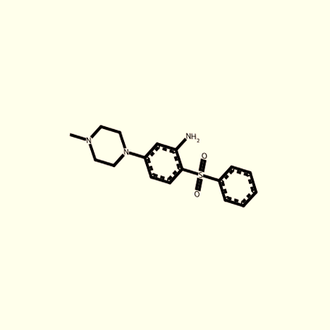 CN1CCN(c2ccc(S(=O)(=O)c3ccccc3)c(N)c2)CC1